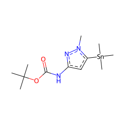 Cn1nc(NC(=O)OC(C)(C)C)c[c]1[Sn]([CH3])([CH3])[CH3]